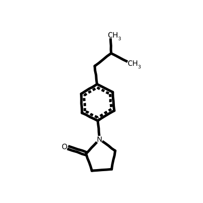 CC(C)Cc1ccc(N2CCCC2=O)cc1